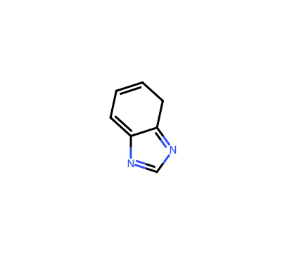 C1=CCC2=NC=NC2=C1